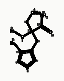 CCOC(COC)(Cc1cscc1Br)C(N)=O